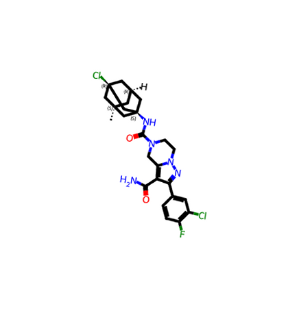 C[C@@]12C[C@H]3C[C@@](Cl)(C1)C[C@](NC(=O)N1CCn4nc(-c5ccc(F)c(Cl)c5)c(C(N)=O)c4C1)(C3)C2